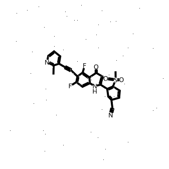 Cc1ncccc1C#Cc1c(F)cc2[nH]c(-c3cc(C#N)ccc3S(C)(=O)=O)cc(=O)c2c1F